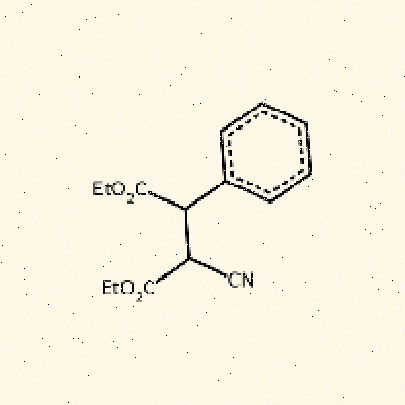 CCOC(=O)C(C#N)C(C(=O)OCC)c1ccccc1